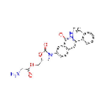 NCC(=O)OCC1CN(c2ccc3cc(-c4ccccc4C(F)(F)F)[nH]c(=O)c3c2)C(=O)O1